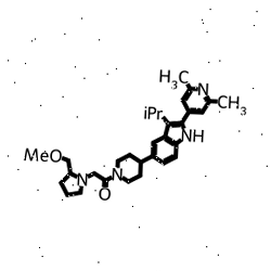 COCC1CCCN1CC(=O)N1CCC(c2ccc3[nH]c(-c4cc(C)nc(C)c4)c(C(C)C)c3c2)CC1